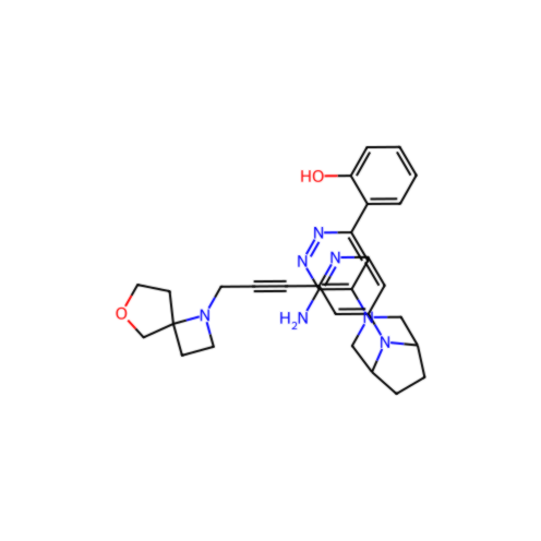 Nc1nnc(-c2ccccc2O)cc1N1CC2CCC(C1)N2c1ccnc(C#CCN2CCC23CCOC3)c1